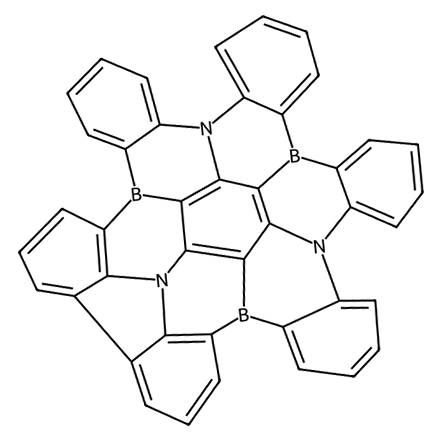 c1ccc2c(c1)B1c3ccccc3N3c4ccccc4B4c5c3c1c1c3c5-n5c6c(cccc6c6cccc4c65)B3c3ccccc3N21